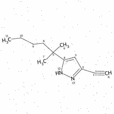 C#Cc1cc(C(C)(C)CCCC)[nH]n1